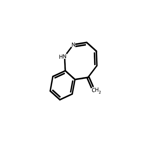 C=C1/C=C\C=N/Nc2ccccc21